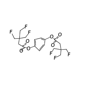 O=S(=O)(CC(CF)(CF)CF)Oc1ccc(OS(=O)(=O)CC(CF)(CF)CF)cc1